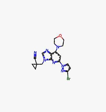 N#CC1(Cn2cnc3c(N4CCOCC4)cc(-n4ccc(Br)n4)nc32)CC1